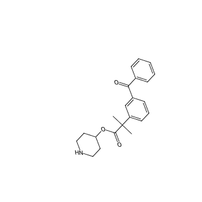 CC(C)(C(=O)OC1CCNCC1)c1cccc(C(=O)c2ccccc2)c1